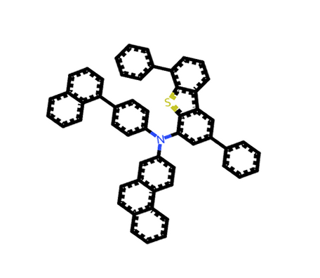 c1ccc(-c2cc(N(c3ccc(-c4cccc5ccccc45)cc3)c3ccc4c(ccc5ccccc54)c3)c3sc4c(-c5ccccc5)cccc4c3c2)cc1